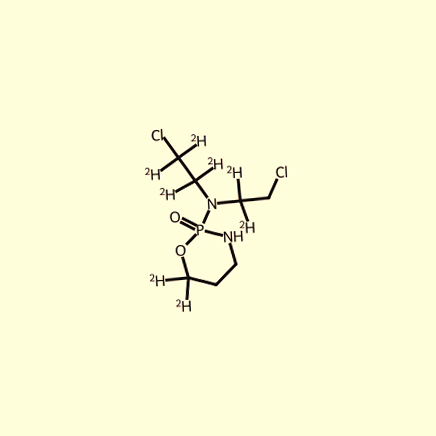 [2H]C1([2H])CCNP(=O)(N(C([2H])([2H])CCl)C([2H])([2H])C([2H])([2H])Cl)O1